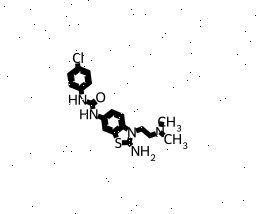 CN(C)CCN1c2ccc(NC(=O)Nc3ccc(Cl)cc3)cc2SC1N